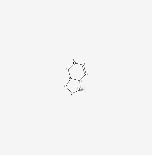 C1=CC2NCCC2CO1